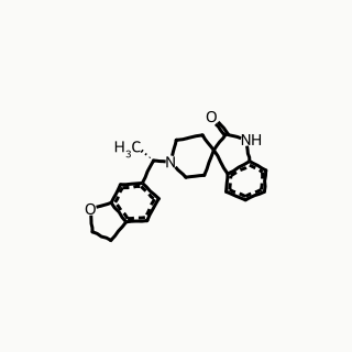 C[C@@H](c1ccc2c(c1)OCC2)N1CCC2(CC1)C(=O)Nc1ccccc12